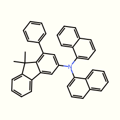 CC1(C)c2ccccc2-c2cc(N(c3cccc4ccccc34)c3cccc4ccccc34)cc(-c3ccccc3)c21